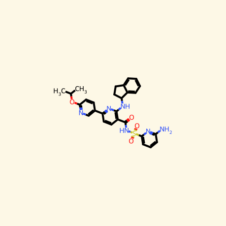 CC(C)Oc1ccc(-c2ccc(C(=O)NS(=O)(=O)c3cccc(N)n3)c(NC3CCc4ccccc43)n2)cn1